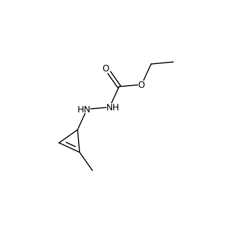 CCOC(=O)NNC1C=C1C